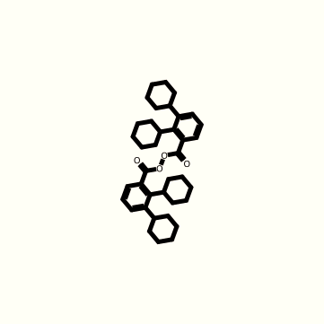 O=C(OOC(=O)c1cccc(C2CCCCC2)c1C1CCCCC1)c1cccc(C2CCCCC2)c1C1CCCCC1